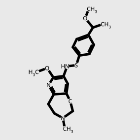 COc1nc2c(cc1NSc1ccc(C(C)OC)cc1)CCN(C)CC2